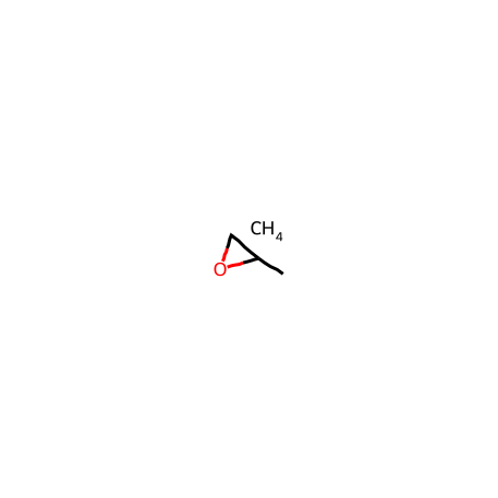 C.CC1CO1